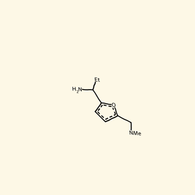 CCC(N)c1ccc(CNC)o1